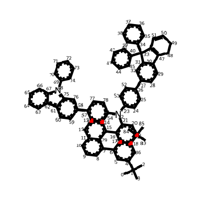 CC(C)(C)c1cc(-c2cccc3cccc(-c4ccccc4N(c4ccc(-c5ccc6c(c5)C(c5ccccc5)(c5ccccc5)C5=C6CCC=C5)cc4)c4ccc(-c5ccc6c7ccccc7n(-c7ccccc7)c6c5)cc4)c23)cc(C(C)(C)C)c1